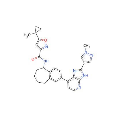 Cn1cc(-c2nc3c(-c4ccc5c(c4)CCCCC5NC(=O)c4cc(C5(C)CC5)on4)ccnc3[nH]2)cn1